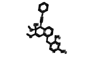 COC1=Cc2c(Cc3cnc(N)nc3N)cccc2C(C#Cc2ccccc2)C1(O)OC